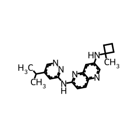 CC(C)c1cnnc(Nc2ccc3ncc(NC4(C)CCC4)cc3n2)c1